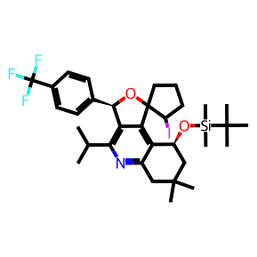 CC(C)c1nc2c(c3c1[C@@H](c1ccc(C(F)(F)F)cc1)OC31CCCC1I)[C@@H](O[Si](C)(C)C(C)(C)C)CC(C)(C)C2